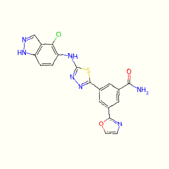 NC(=O)c1cc(-c2ncco2)cc(-c2nnc(Nc3ccc4[nH]ncc4c3Cl)s2)c1